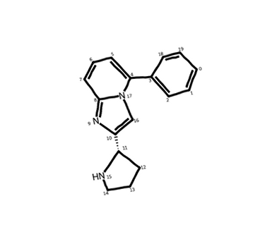 c1ccc(-c2cccc3nc([C@@H]4CCCN4)cn23)cc1